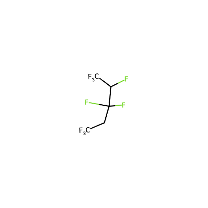 FC(C(F)(F)F)C(F)(F)CC(F)(F)F